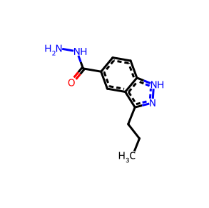 CCCc1n[nH]c2ccc(C(=O)NN)cc12